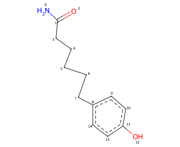 NC(=O)CCCCCc1ccc(O)cc1